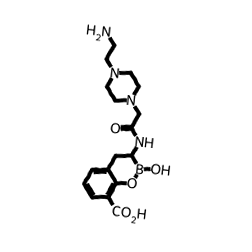 NCCN1CCN(CC(=O)NC2Cc3cccc(C(=O)O)c3OB2O)CC1